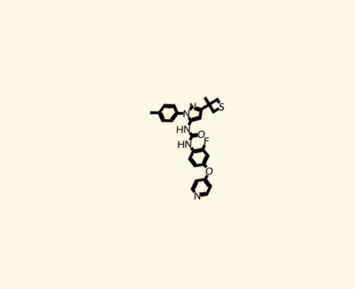 Cc1ccc(-n2nc(C3(C)CSC3)cc2NC(=O)Nc2ccc(Oc3ccncc3)cc2F)cc1